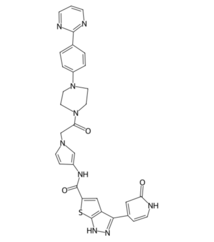 O=C(Nc1ccn(CC(=O)N2CCN(c3ccc(-c4ncccn4)cc3)CC2)c1)c1cc2c(-c3cc[nH]c(=O)c3)n[nH]c2s1